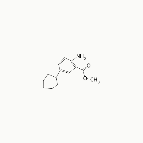 COC(=O)c1cc(C2CCCCC2)ccc1N